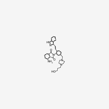 Nc1cccc2c1C(=O)N(c1cc(CN3CCN(CCCO)CC3)ccc1C=Cc1n[nH]c3ccccc13)C2=O